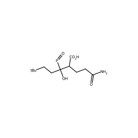 CC(C)(C)CCC(O)(P=O)C(CCC(N)=O)C(=O)O